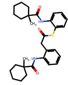 CC1(C(=O)Nc2ccccc2CC(=O)Sc2ccccc2NC(=O)C2(C)CCCCC2)CCCCC1